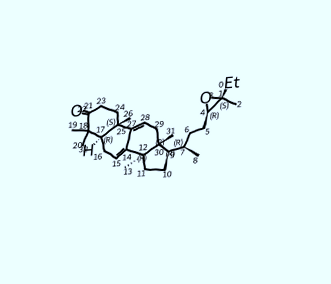 CC[C@]1(C)O[C@@H]1CC[C@@H](C)[C@H]1CC[C@@]2(C)C3=CC[C@H]4C(C)(C)C(=O)CC[C@]4(C)C3=CC[C@]12C